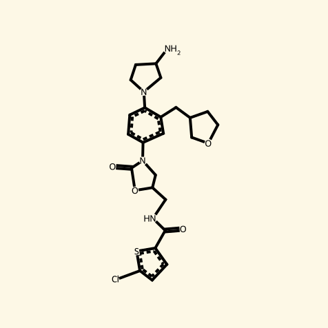 NC1CCN(c2ccc(N3CC(CNC(=O)c4ccc(Cl)s4)OC3=O)cc2CC2CCOC2)C1